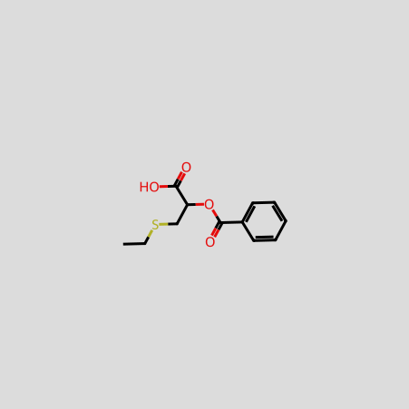 CCSCC(OC(=O)c1ccccc1)C(=O)O